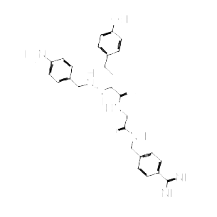 N=C(N)c1ccc(CNC(=O)CNC(=O)[C@@H](CCc2ccc(O)cc2)NNCc2ccc(N)cc2)cc1